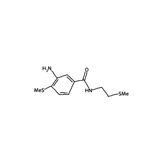 CSCCNC(=O)c1ccc(SC)c(N)c1